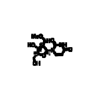 CON[C@@H]1[C@H](O)[C@@H](CO)O[C@H]1n1ccc(=O)[nH]c1=O